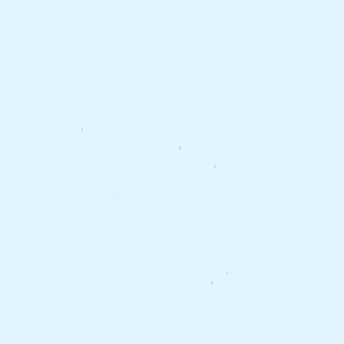 C=C(C)C(=O)Cc1ccc2c(c1OC)OC(c1ccccc1OC)C(=O)C2